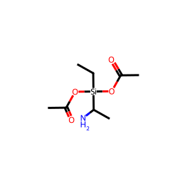 CC[Si](OC(C)=O)(OC(C)=O)C(C)N